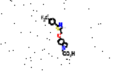 Cc1nc(-c2ccc(C(F)(F)F)cc2)sc1COc1ccc2c(ccn2CC(=O)O)c1